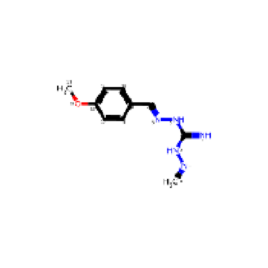 C=NNC(=N)N/N=C/c1ccc(OC)cc1